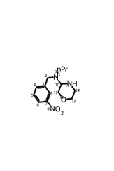 CCCN(Cc1cccc([N+](=O)[O-])c1)C1COCCN1